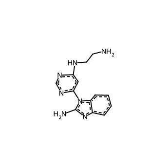 NCCNc1cc(-n2c(N)nc3ccccc32)ncn1